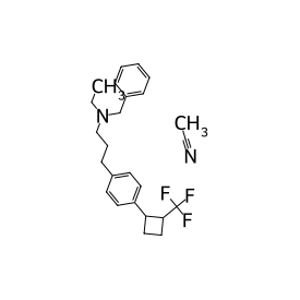 CC#N.CCN(CCCc1ccc(C2CCC2C(F)(F)F)cc1)Cc1ccccc1